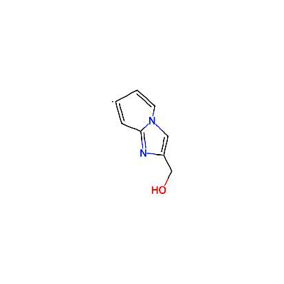 OCc1cn2cc[c]cc2n1